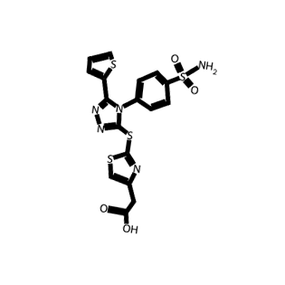 NS(=O)(=O)c1ccc(-n2c(Sc3nc(CC(=O)O)cs3)nnc2-c2cccs2)cc1